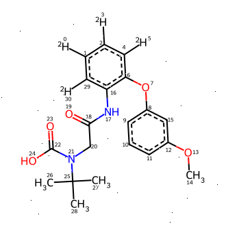 [2H]c1c([2H])c([2H])c(Oc2cccc(OC)c2)c(NC(=O)CN(C(=O)O)C(C)(C)C)c1[2H]